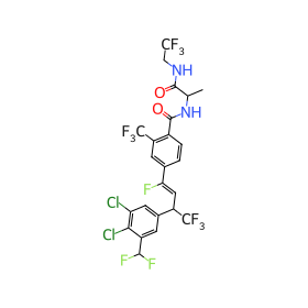 CC(NC(=O)c1ccc(/C(F)=C/C(c2cc(Cl)c(Cl)c(C(F)F)c2)C(F)(F)F)cc1C(F)(F)F)C(=O)NCC(F)(F)F